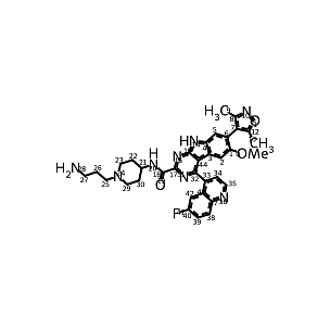 COc1cc2c(cc1-c1c(C)noc1C)[nH]c1nc(C(=O)NC3CCN(CCCN)CC3)nc(-c3ccnc4ccc(F)cc34)c12